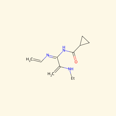 C=C/N=C(/NC(=O)C1CC1)C(=C)NCC